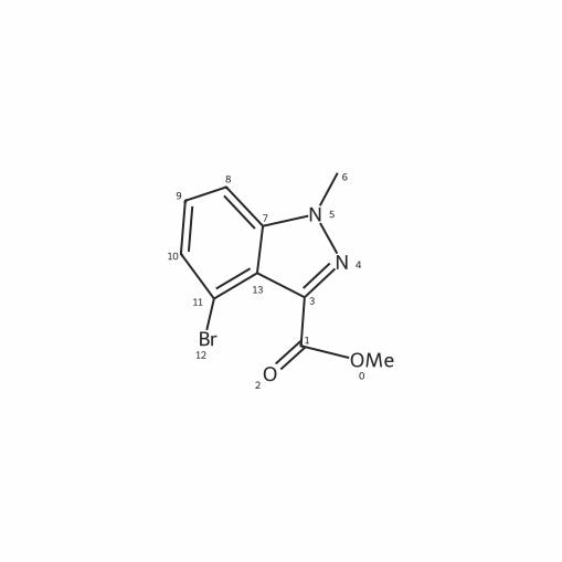 COC(=O)c1nn(C)c2cccc(Br)c12